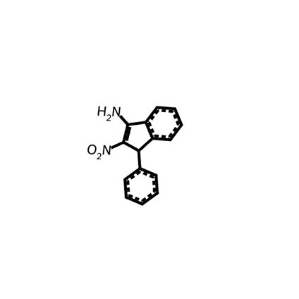 NC1=C([N+](=O)[O-])C(c2ccccc2)c2ccccc21